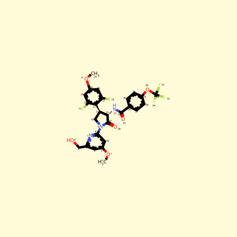 COc1cc(CO)nc(N2C[C@@H](c3c(F)cc(OC)cc3F)[C@H](NC(=O)c3ccc(OC(F)(F)F)cc3)C2=O)c1